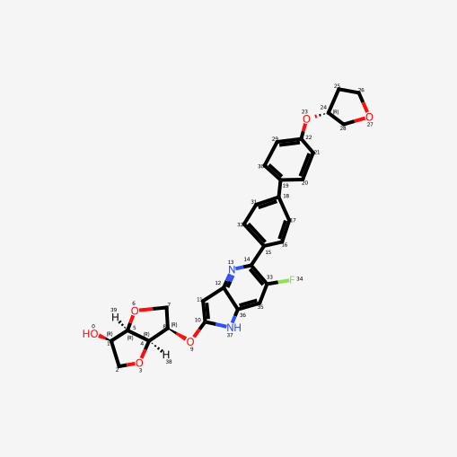 O[C@@H]1CO[C@H]2[C@@H]1OC[C@H]2Oc1cc2nc(-c3ccc(-c4ccc(O[C@@H]5CCOC5)cc4)cc3)c(F)cc2[nH]1